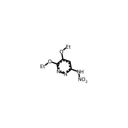 CCOc1cc(N[N+](=O)[O-])nnc1OCC